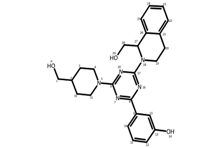 OCC1CCN(c2nc(-c3cccc(O)c3)nc(N3CCc4ccccc4C3CO)n2)CC1